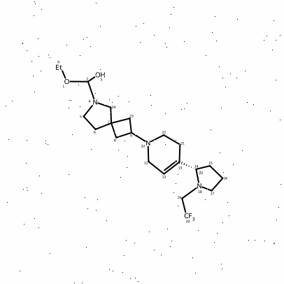 CCOC(O)N1CCC2(CC(N3CC=C([C@@H]4CCCN4CC(F)(F)F)CC3)C2)C1